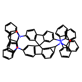 C1=Cc2c(n(-c3ccc4c(c3)C3(c5cc(-n6c7ccccc7c7ccccc76)ccc5-c5ccc(-n6c7ccccc7c7ccccc76)cc53)c3c-4ccc4c3C4n3c4ccccc4c4ccccc43)c3ccccc23)CC1